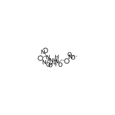 C[C@H](NC(=O)Cc1cccc([N+](=O)[O-])c1)C(=O)N[C@H]1N=C(c2ccccn2)c2ccccc2N(C)C1=O